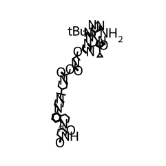 CC(C)(C1CCN(C(=O)COC(=O)N2CC(Oc3cnc(-c4c(-c5nn(C(C)(C)C)c6ncnc(N)c56)noc4C4CC4)nc3)C2)CC1)N1CCN(c2cccc3c2CCCN3[C@@H]2CCC(=O)NC2=O)CC1